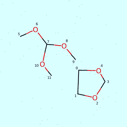 C1COCO1.COC(OC)OC